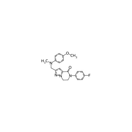 COc1ccc(N(C)Cc2cc3n(n2)CCN(c2ccc(F)cc2)C3=O)cc1